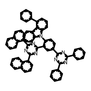 c1ccc(-c2nc(-c3ccccc3)nc(-c3ccc(-n4c5ccccc5c5c(-c6ccccc6)cccc54)c(-c4nc(-c5cccc6ccccc56)nc(-c5cccc6ccccc56)n4)c3)n2)cc1